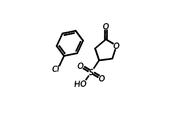 Clc1ccccc1.O=C1CC(S(=O)(=O)O)CO1